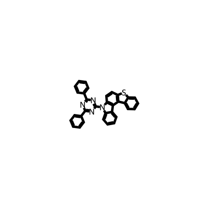 c1ccc(-c2nc(-c3ccccc3)nc(-n3c4ccccc4c4c5c(ccc43)sc3ccccc35)n2)cc1